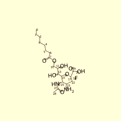 CCCCCCCC(=O)OC[C@@H](O)[C@@H](O)C1O[C@@](F)(C(=O)O)CC(N)[C@H]1NC(C)=O